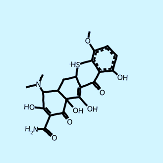 COc1ccc(O)c2c1[SH]C1CC3C(N(C)C)C(O)=C(C(N)=O)C(=O)C3(O)C(O)=C1C2=O